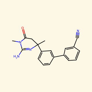 CN1C(=O)CC(C)(c2cccc(-c3cccc(C#N)c3)c2)N=C1N